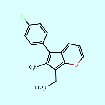 CCOC(=O)Cc1c2occcc-2c(-c2ccc(F)cc2)c1[N+](=O)[O-]